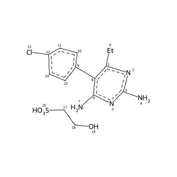 CCc1nc(N)nc(N)c1-c1ccc(Cl)cc1.O=S(=O)(O)CCO